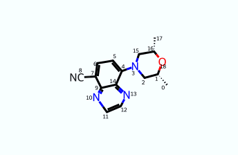 C[C@@H]1CN(c2ccc(C#N)c3nccnc23)C[C@H](C)O1